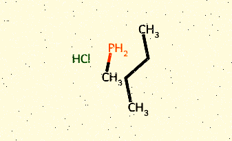 CCCC.CP.Cl